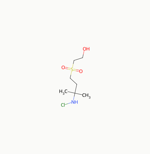 CC(C)(CCS(=O)(=O)CCO)NCl